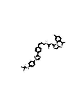 Cc1ccc(C(C)C)c(N2C(=O)CS/C2=N\C(=S)NC/C=C\c2ccc(-c3ncn(-c4ccc(OC(F)(F)F)cc4)n3)cc2)c1